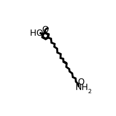 COc1cc(CCCCCCCCCC=CCCCCCCCC(N)=O)ccc1O